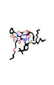 CCCCCCC(CCCC)CSc1ccc(C(C)(C)C)cc1NC(=O)C(C1=Nc2ccccc2S(=O)(=O)N1CCCOCCCC)N1C(=O)OC(CCCC)C1=O